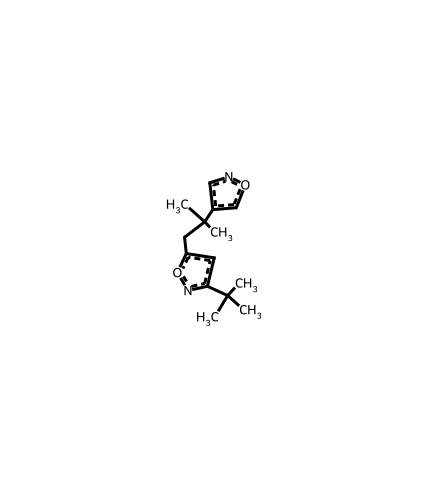 CC(C)(C)c1cc(CC(C)(C)c2cnoc2)on1